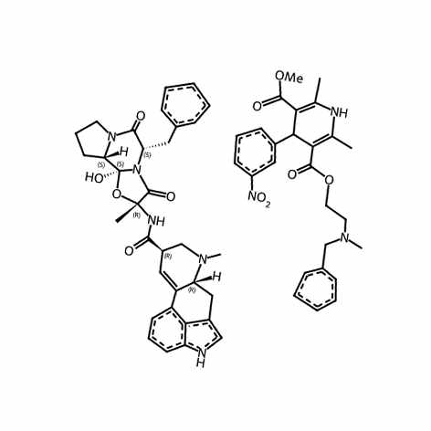 CN1C[C@H](C(=O)N[C@]2(C)O[C@@]3(O)[C@@H]4CCCN4C(=O)[C@H](Cc4ccccc4)N3C2=O)C=C2c3cccc4[nH]cc(c34)C[C@H]21.COC(=O)C1=C(C)NC(C)=C(C(=O)OCCN(C)Cc2ccccc2)C1c1cccc([N+](=O)[O-])c1